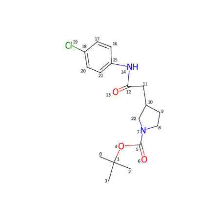 CC(C)(C)OC(=O)N1CCC(CC(=O)Nc2ccc(Cl)cc2)C1